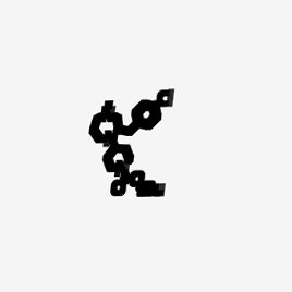 CN1CCCN(C2CCN(C(=O)OC(C)(C)C)CC2)C(Cc2ccc(Cl)cc2)C1